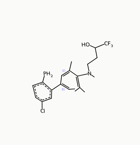 C/C=C(\C=C(\C)C(=C(C)C)N(C)CCC(O)C(F)(F)F)c1cc(Cl)ccc1P